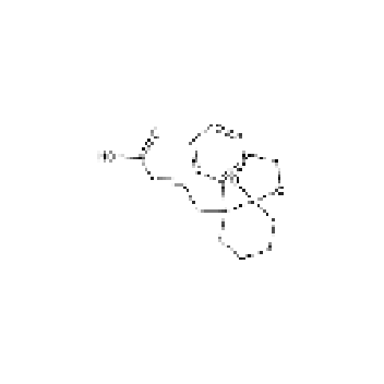 O=C(O)/C=C/CC1(c2ccccc2)CCCCC12OCCO2